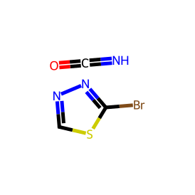 Brc1nncs1.N=C=O